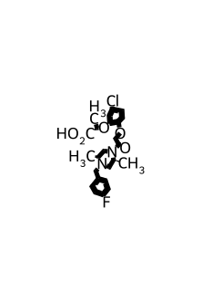 C[C@H](Oc1cc(Cl)ccc1OCC(=O)N1C[C@H](C)N(Cc2ccc(F)cc2)C[C@H]1C)C(=O)O